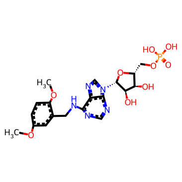 COc1ccc(OC)c(CNc2ncnc3c2ncn3[C@@H]2O[C@H](COP(=O)(O)O)[C@@H](O)[C@H]2O)c1